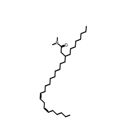 CCCCC/C=C\C/C=C\CCCCCCCCCC(CCCCCCCC)CC(=O)N(C)C